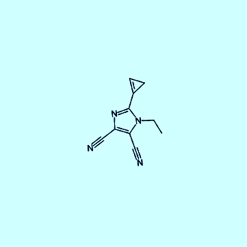 CCn1c(C2=CC2)nc(C#N)c1C#N